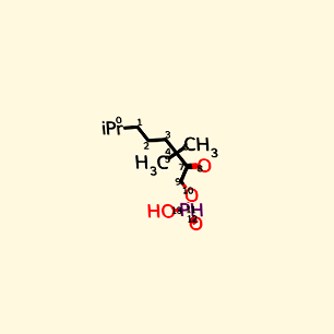 CC(C)CCCC(C)(C)C(=O)CO[PH](=O)O